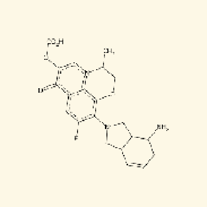 CC1COc2c(N3CC4C=CCC(N)C4C3)c(F)cc3c(=O)c(OC(=O)O)cn1c23